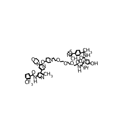 Cc1ncc(NC(=O)c2cccc(C(F)(F)F)c2)cc1-c1cnc(OC2CCN(CCOCCOCCOCC(=O)N[C@H](C(=O)N3C[C@H](O)C[C@H]3C(=O)N[C@@H](C)c3ccc(-c4scnc4C)cc3)C(C)C)CC2)c(N2CCOCC2)c1